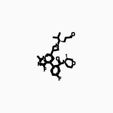 Cc1nc(F)c2c(-c3ccc(F)cc3C(=O)N3CCOC[C@H]3C)cc(C3CN([C@@H](CCC=O)C(C)C)C3)cn12